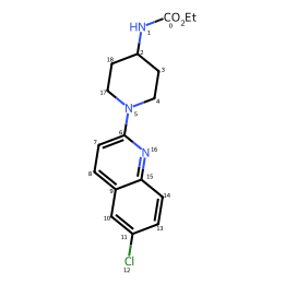 CCOC(=O)NC1CCN(c2ccc3cc(Cl)ccc3n2)CC1